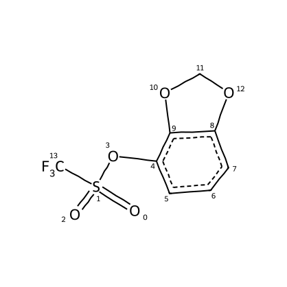 O=S(=O)(Oc1cccc2c1OCO2)C(F)(F)F